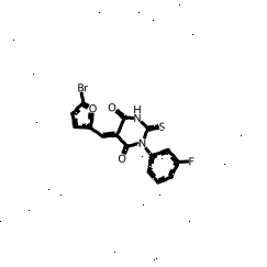 O=C1NC(=S)N(c2cccc(F)c2)C(=O)C1=Cc1ccc(Br)o1